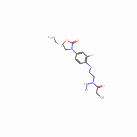 CCNN(CCNc1ccc(N2C[C@H](CNC(C)=O)OC2=O)cc1F)C(=O)CC#N